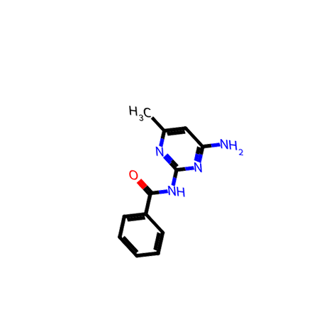 Cc1cc(N)nc(NC(=O)c2ccccc2)n1